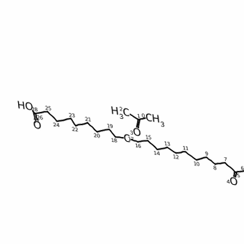 CC(C)=O.O=C(O)CCCCCCCCCCCCCCCCCCCC(=O)O